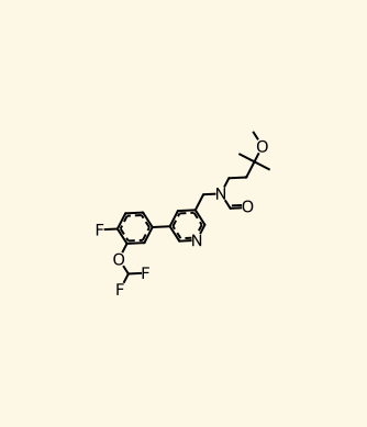 COC(C)(C)CCN(C=O)Cc1cncc(-c2ccc(F)c(OC(F)F)c2)c1